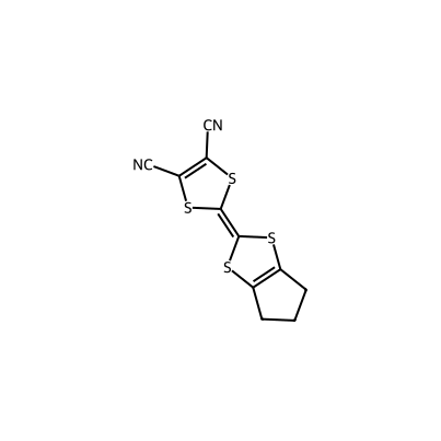 N#CC1=C(C#N)SC(=C2SC3=C(CCC3)S2)S1